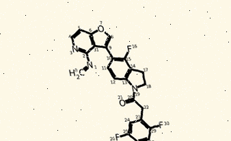 C=Nc1nccc2occ(-c3ccc4c(c3F)CCN4C(=O)Cc3cc(F)ccc3F)c12